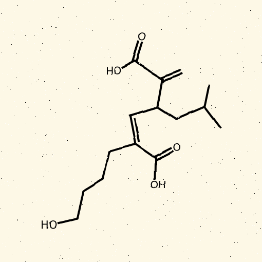 C=C(C(=O)O)C(C=C(CCCCO)C(=O)O)CC(C)C